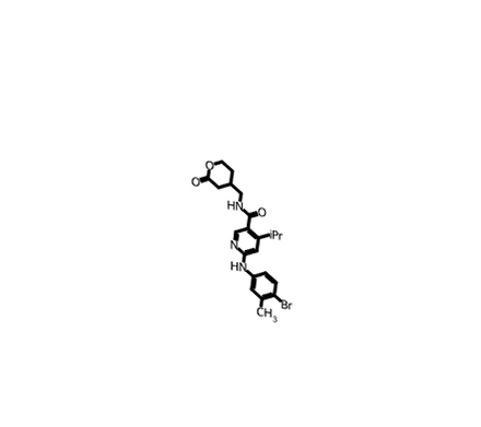 Cc1cc(Nc2cc(C(C)C)c(C(=O)NCC3CCOC(=O)C3)cn2)ccc1Br